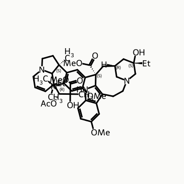 CC[C@]1(O)C[C@@H]2CN(CCc3c([nH]c4ccc(OC)cc34)[C@@](C(=O)OC)(c3cc([C@]4(C)CCN5CC=C[C@@](CC)([C@@H](OC(C)=O)C(C)(O)C(=O)OC)C54)c(N(C)C)cc3OC)C2)C1